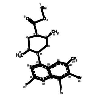 CC1CN(C(=O)OC(C)(C)C)[C@@H](C)CN1c1nc(F)nc2c(F)c(Br)c(C(F)(F)F)cc12